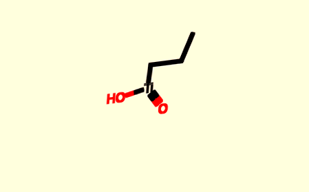 CC[CH2][Ti](=[O])[OH]